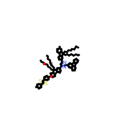 CCCCCCCCC1(CCCCCCCC)c2cc(C)ccc2-c2ccc(-c3cc(-c4ccc5c(c4)C(CCCCCCCC)(CCCCCCCC)c4cc(-c6ccc7c(c6)sc6c8ccc(C)cc8sc76)ccc4-5)nc(-c4cc5c6c(cccc6c4)-c4ccccc4-5)n3)cc21